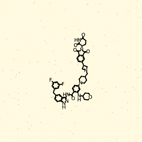 O=C1CCC(N2C(=O)c3ccc(C4CN(CC5CCN(c6ccc(C(=O)Nc7n[nH]c8ccc(Cc9cc(F)cc(F)c9)cc78)c(NC7CCOCC7)c6)CC5)C4)cc3C2=O)C(=O)N1